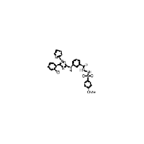 COc1ccc(S(=O)(=O)NNC(=O)c2cccc(Nc3nc(-c4ccccc4Cl)n(-c4ccccn4)n3)c2)cc1